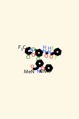 CNC(=O)/C(=N/OC)c1ccccc1Oc1ccccc1.O=C(NC(=O)c1c(F)cccc1F)Nc1cc(Cl)c(Oc2ncc(C(F)(F)F)cc2Cl)c(Cl)c1